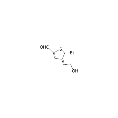 CCC1SC(C=O)=C/C1=C/CO